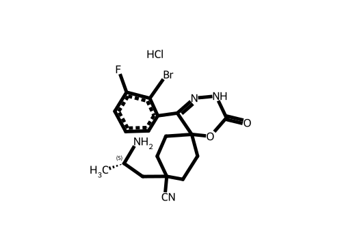 C[C@H](N)CC1(C#N)CCC2(CC1)OC(=O)NN=C2c1cccc(F)c1Br.Cl